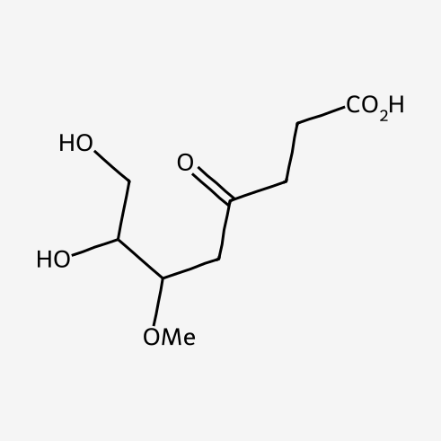 COC(CC(=O)CCC(=O)O)C(O)CO